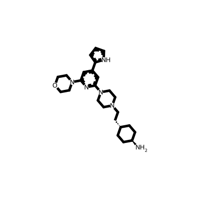 N[C@H]1CC[C@H](CCN2CCN(c3cc(-c4ccc[nH]4)cc(N4CCOCC4)n3)CC2)CC1